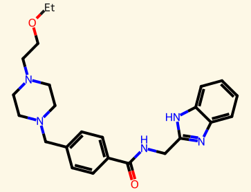 CCOCCN1CCN(Cc2ccc(C(=O)NCc3nc4ccccc4[nH]3)cc2)CC1